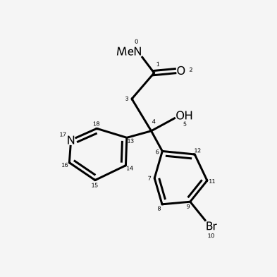 CNC(=O)CC(O)(c1ccc(Br)cc1)c1cccnc1